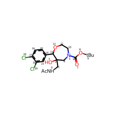 CC(=O)NCC1(O)CN(C(=O)OC(C)(C)C)CCOC1c1ccc(Cl)c(Cl)c1